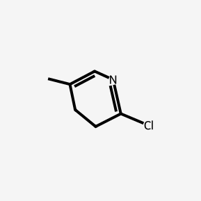 CC1=CN=C(Cl)CC1